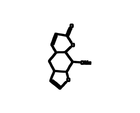 COC1C2OC=CC2CC2C=CC(=O)OC21